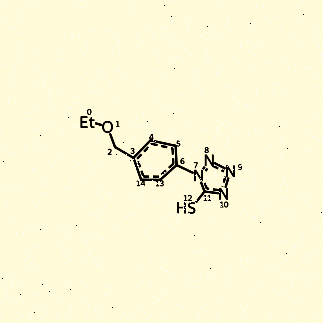 CCOCc1ccc(-n2nnnc2S)cc1